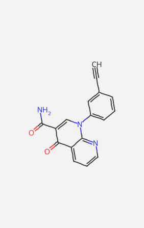 C#Cc1cccc(-n2cc(C(N)=O)c(=O)c3cccnc32)c1